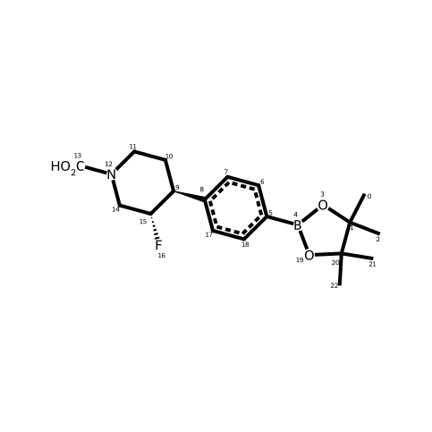 CC1(C)OB(c2ccc([C@@H]3CCN(C(=O)O)C[C@H]3F)cc2)OC1(C)C